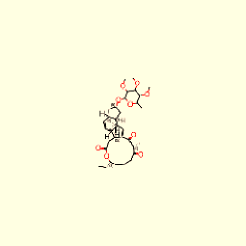 CC[C@H]1CCCC(=O)[C@@H](C)C(=O)C2=C[C@@H]3[C@@H](C=C[C@@H]4C[C@@H](OC5OC(C)C(OC)C(OC)C5OC)C[C@@H]34)[C@@H]2CC(=O)O1